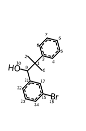 CC(C)(c1ccccc1)C(O)c1cccc(Br)c1